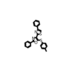 Cc1ccc(Sc2oc(-c3ccccc3)nc2-c2nc(-c3ccccc3)cs2)cc1